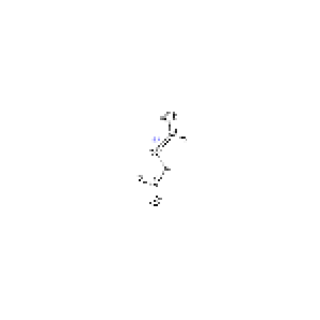 CC/C(C)=C/CC(C)CC